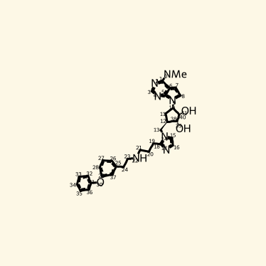 CNc1ncnc2c1ccn2[C@@H]1C[C@H](Cn2ccnc2CCCNCCc2cccc(Oc3ccccc3)c2)[C@@H](O)[C@H]1O